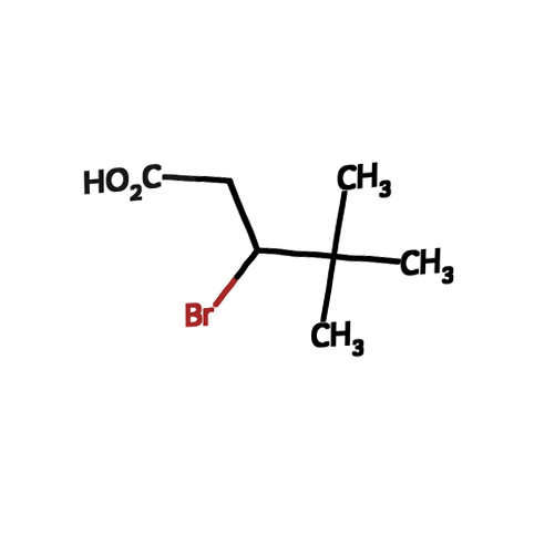 CC(C)(C)C(Br)CC(=O)O